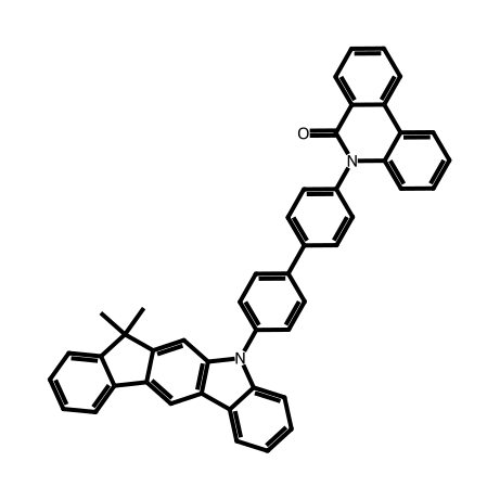 CC1(C)c2ccccc2-c2cc3c4ccccc4n(-c4ccc(-c5ccc(-n6c(=O)c7ccccc7c7ccccc76)cc5)cc4)c3cc21